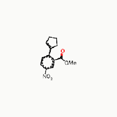 COC(=O)c1cc([N+](=O)[O-])ccc1C1=CCCC1